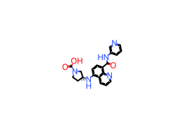 O=C(Nc1cccnc1)c1ccc(N[C@H]2CCN(C(=O)O)C2)c2cccnc12